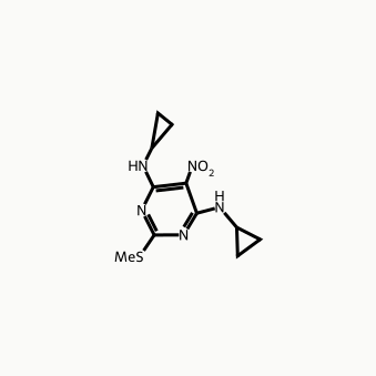 CSc1nc(NC2CC2)c([N+](=O)[O-])c(NC2CC2)n1